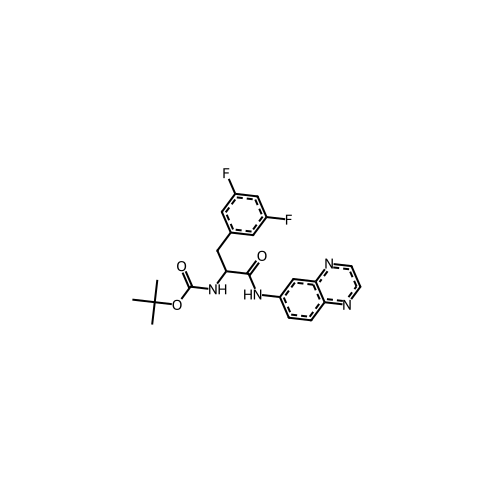 CC(C)(C)OC(=O)NC(Cc1cc(F)cc(F)c1)C(=O)Nc1ccc2nccnc2c1